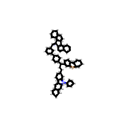 C(=C1/c2ccc3ccccc3c2-c2ccc3ccccc3c21)/c1cccc(-c2ccc(C(CCc3ccc4c5cc6ccccc6cc5n(-c5ccccc5)c4c3)c3ccc4c(c3)sc3ccccc34)cc2)c1